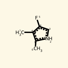 Cc1[nH]cc(F)c1C